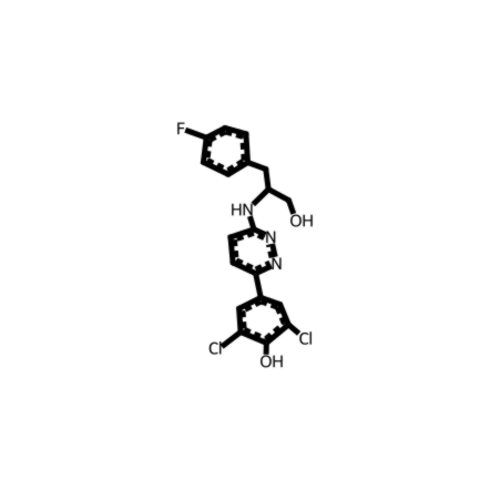 OCC(Cc1ccc(F)cc1)Nc1ccc(-c2cc(Cl)c(O)c(Cl)c2)nn1